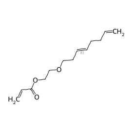 C=CCC/C=C/CCOCCOC(=O)C=C